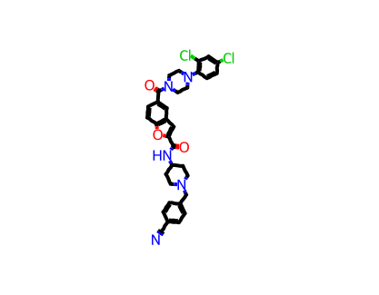 N#Cc1ccc(CN2CCC(NC(=O)c3cc4cc(C(=O)N5CCN(c6ccc(Cl)cc6Cl)CC5)ccc4o3)CC2)cc1